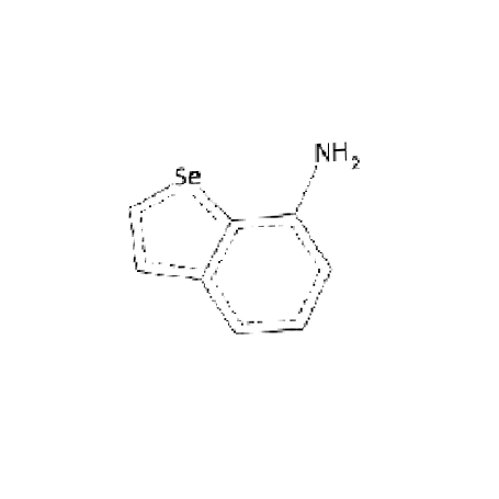 Nc1cccc2cc[se]c12